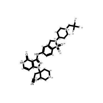 N#CCC1(n2nc(Nc3ccc4c(c3)CN(C3CCN(CC(F)(F)F)CC3)S4(=O)=O)c3c(=O)[nH]ccc32)CCOCC1F